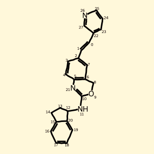 C(=Cc1ccc2c(c1)COC(NC1CCc3ccccc31)=N2)c1cccnc1